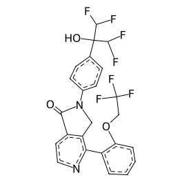 O=C1c2ccnc(-c3ccccc3OCC(F)(F)F)c2CN1c1ccc(C(O)(C(F)F)C(F)F)cc1